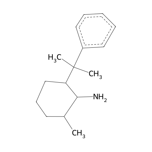 CC1CCCC(C(C)(C)c2ccccc2)C1N